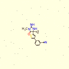 CN1C(=N)NC(c2cc(-c3cccc(C#N)c3)cs2)(C2CC2)C1=O